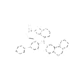 C1=Cc2c(sc3cccc(N(c4ccc(-c5ccccc5)cc4)c4ccc5ccc6ccccc6c5c4)c23)NC1